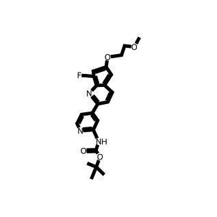 COCCOc1cc(F)c2nc(-c3ccnc(NC(=O)OC(C)(C)C)c3)ccc2c1